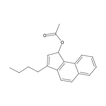 CCCCC1=CC(OC(C)=O)c2c1ccc1ccccc21